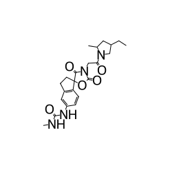 CCC1CC(C)N(C(=O)CN2C(=O)OC3(CCc4cc(NC(=O)NC)ccc43)C2=O)C1